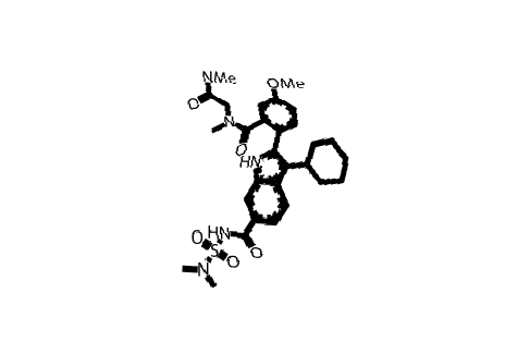 CNC(=O)CN(C)C(=O)c1cc(OC)ccc1-c1[nH]c2cc(C(=O)NS(=O)(=O)N(C)C)ccc2c1C1CCCCC1